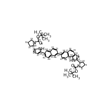 CC(C)(C)OC(=O)N1CCCC1c1nc2ccc3cc(-c4ccc5cc(-c6cnc([C@@H]7CCCN7C(=O)OC(C)(C)C)[nH]6)ccc5c4)ccc3c2[nH]1